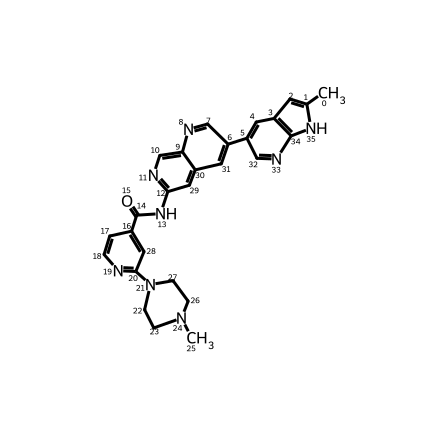 Cc1cc2cc(-c3cnc4cnc(NC(=O)c5ccnc(N6CCN(C)CC6)c5)cc4c3)cnc2[nH]1